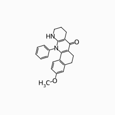 COc1ccc2c(c1)CCc1c-2n(-c2ccccc2)c2c(c1=O)CCCN2